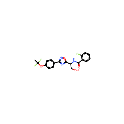 CC(F)(F)Oc1ccc(-c2noc([C@H](CO)NC(=O)c3ccccc3F)n2)cc1